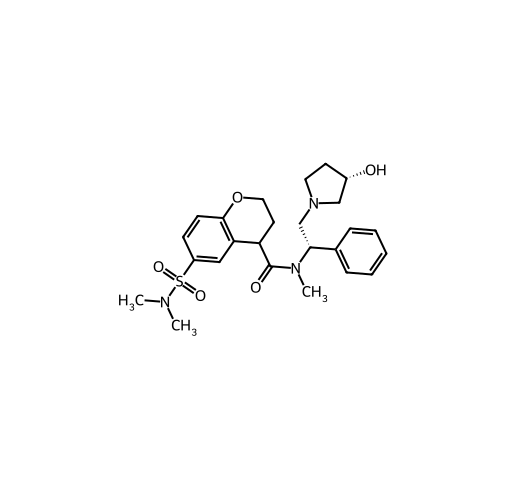 CN(C(=O)C1CCOc2ccc(S(=O)(=O)N(C)C)cc21)[C@H](CN1CC[C@H](O)C1)c1ccccc1